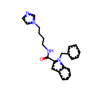 O=C(NCCCCn1ccnc1)c1cc2ccccc2n1Cc1ccccc1